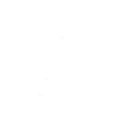 Nc1nc(-c2ccc(NC(=O)OCC(Cl)(Cl)Cl)cc2)cs1